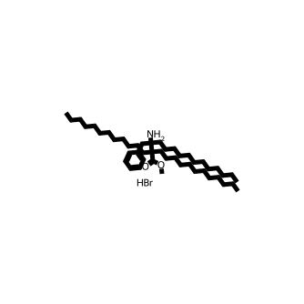 Br.CCCCCCCCCCCCC(N)(Cc1ccccc1)C(CCCCCCCCCCCC)(CCCCCCCCCCCC)C(=O)OC